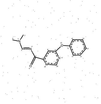 CN(C)/C=N/C(=O)c1cc(Oc2ccccc2)ncn1